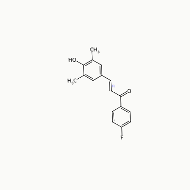 Cc1cc(/C=C/C(=O)c2ccc(F)cc2)cc(C)c1O